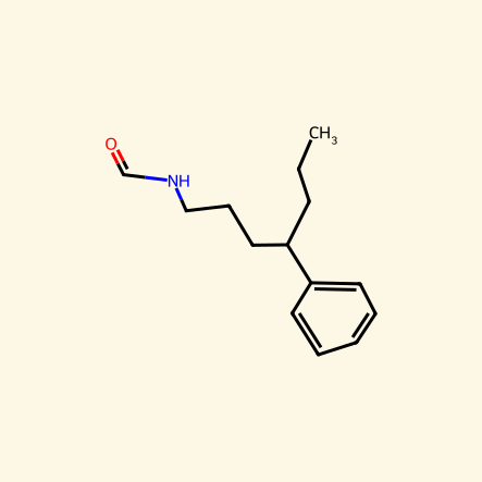 CCCC(CCCNC=O)c1ccccc1